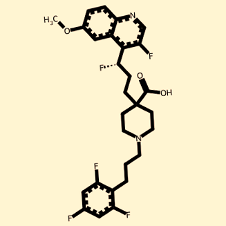 COc1ccc2ncc(F)c([C@@H](F)CCC3(C(=O)O)CCN(CCCc4c(F)cc(F)cc4F)CC3)c2c1